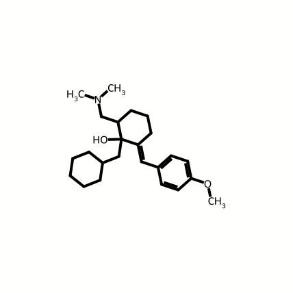 COc1ccc(C=C2CCCC(CN(C)C)C2(O)CC2CCCCC2)cc1